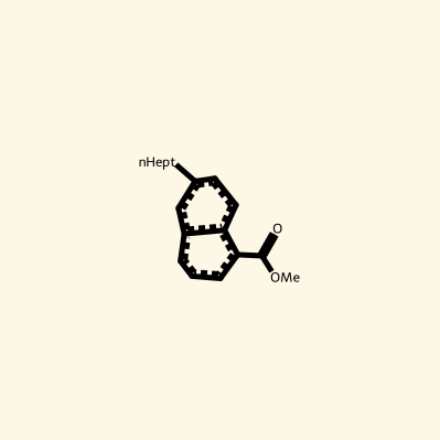 CCCCCCCc1ccc2c(C(=O)OC)cccc2c1